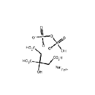 O=C(O)CC(O)(CC(=O)O)C(=O)O.O=P([O-])([O-])OP(=O)([O-])O.[Fe+2].[Na+]